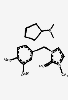 COc1ccc(Cn2ccn(C)[c]2=[Pt])cc1OC.IN(I)C1CCCC1